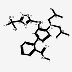 COC(=O)c1ccccc1-c1ccc(N(CC(C)C)CC(C)C)c(Nc2nc(C(F)(F)F)ns2)c1